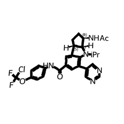 CC(=O)N[C@@H]1CC[C@H]2c3cc(C(=O)Nc4ccc(OC(F)(F)Cl)cc4)cc(-c4cncnc4)c3N(C(C)C)[C@@H]12